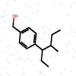 CCC(C)C(CC)c1ccc(CO)cc1